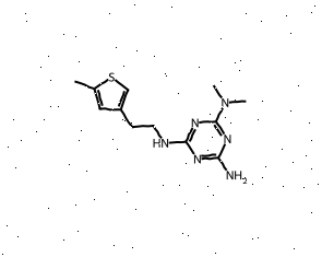 Cc1cc(CCNc2nc(N)nc(N(C)C)n2)cs1